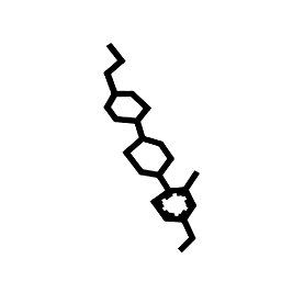 CCCC1CCC(C2CCC(c3ccc(CC)cc3C)CC2)CC1